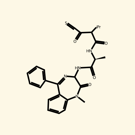 CC(C)C(C(=O)C=S)C(=O)N[C@@H](C)C(=O)NC1N=C(c2ccccc2)c2ccccc2N(C)C1=O